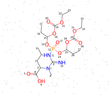 CCCC(C(=O)O)N(C)C(=N)NP(=O)(OC(CC)OC(=O)OCC)OC(CC)OC(=O)OCC